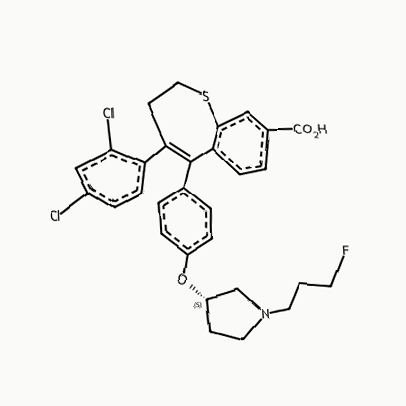 O=C(O)c1ccc2c(c1)SCCC(c1ccc(Cl)cc1Cl)=C2c1ccc(O[C@H]2CCN(CCCF)C2)cc1